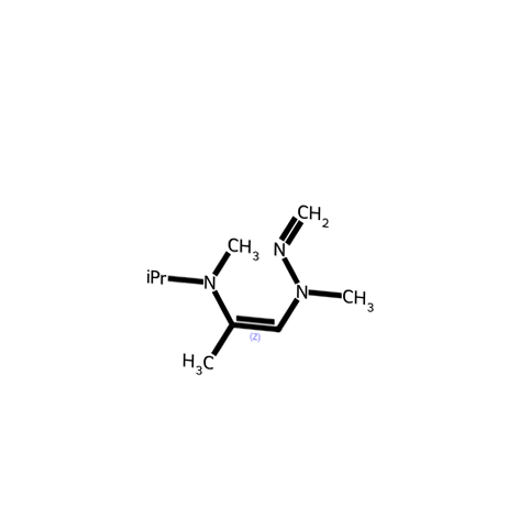 C=NN(C)/C=C(/C)N(C)C(C)C